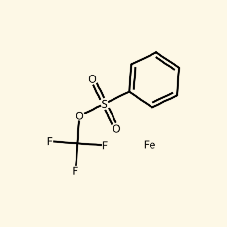 O=S(=O)(OC(F)(F)F)c1ccccc1.[Fe]